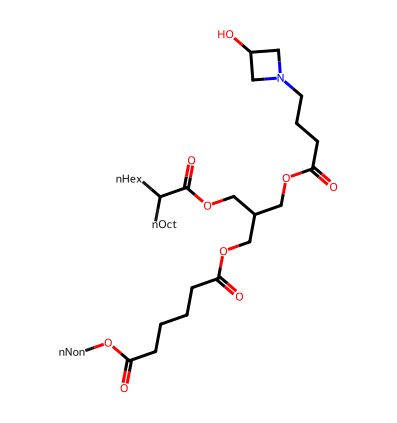 CCCCCCCCCOC(=O)CCCCC(=O)OCC(COC(=O)CCCN1CC(O)C1)COC(=O)C(CCCCCC)CCCCCCCC